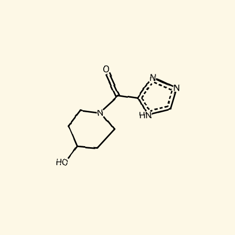 O=C(c1nnc[nH]1)N1CCC(O)CC1